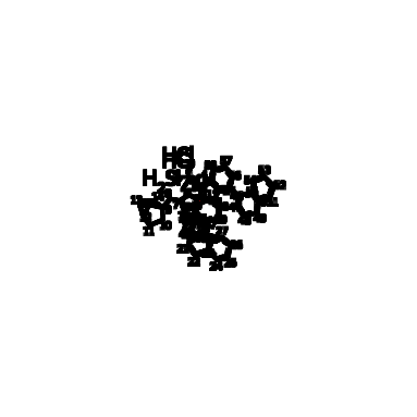 Cl.Cl.[CH3][Zr]([CH3])(=[SiH2])([CH]1C(CC23CCC(CC2)C3)=Cc2c(-c3cccc4ccccc34)cccc21)[CH]1C(CC23CCC(CC2)C3)=Cc2c(-c3cccc4ccccc34)cccc21